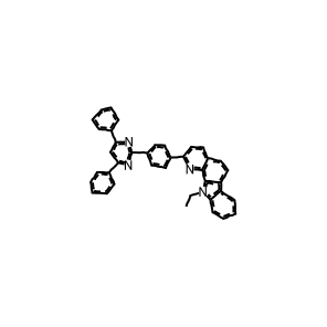 CCn1c2ccccc2c2ccc3ccc(-c4ccc(-c5nc(-c6ccccc6)cc(-c6ccccc6)n5)cc4)nc3c21